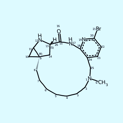 CN1CCCCCCC[C@]23CC2N[C@@H](C3)C(=O)Nc2nc(Br)ccc2C1